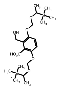 CC(OCOc1ccc(OCOC(C)[Si](C)(C)C)c(C(=O)O)c1CO)[Si](C)(C)C